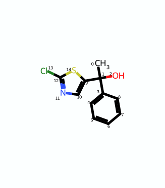 CC(O)(c1ccccc1)c1cnc(Cl)s1